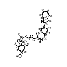 COc1cc(C)c(S(=O)(=O)N(C)CCOCC(=O)N(C)Cc2ccc(C3CN4C=CC=CC4=N3)cc2)c(C)c1